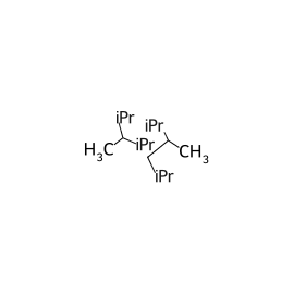 CC(C)C(C)C(C)C.CC(C)CC(C)C(C)C